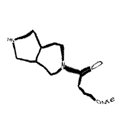 COCC(=O)N1CC2CNCC2C1